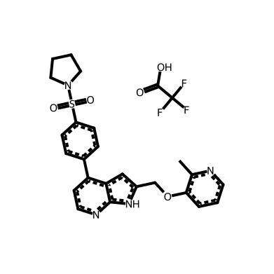 Cc1ncccc1OCc1cc2c(-c3ccc(S(=O)(=O)N4CCCC4)cc3)ccnc2[nH]1.O=C(O)C(F)(F)F